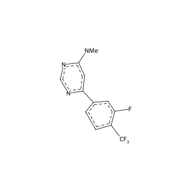 CNc1cc(-c2ccc(C(F)(F)F)c(F)c2)ncn1